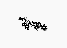 CC(C)(C)OC(=O)Cn1cnc2cccc(C(=O)N3CC(CN4CCC(c5ccc(F)cc5)CC4)C(c4ccsc4)C3)c21